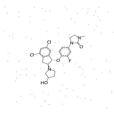 CN1CCN(c2ccc(O[C@H]3c4cc(Cl)cc(Cl)c4C[C@@H]3N3CCC(O)C3)c(F)c2)C1=O